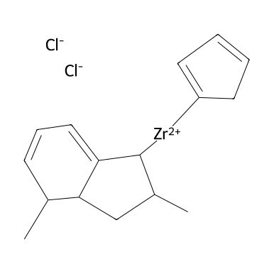 CC1C=CC=C2C1CC(C)[CH]2[Zr+2][C]1=CC=CC1.[Cl-].[Cl-]